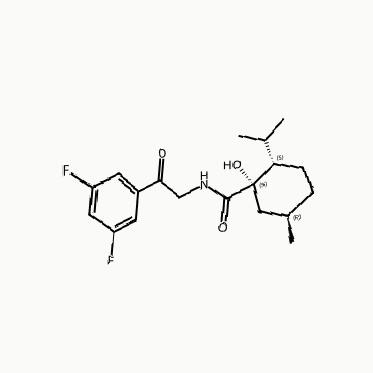 CC(C)[C@@H]1CC[C@@H](C)C[C@@]1(O)C(=O)NCC(=O)c1cc(F)cc(F)c1